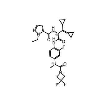 CCn1nccc1C(=O)N[C@H](C(=O)Nc1ccc([C@H](C)C(=O)N2CC(F)(F)C2)cc1F)C(=C1CC1)C1CC1